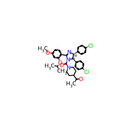 COc1ccc(C2=N[C@@H](c3ccc(Cl)cc3)[C@@H](c3ccc(Cl)cc3)N2C(=O)N2CCC(C(C)=O)CC2)c(OC(C)C)c1